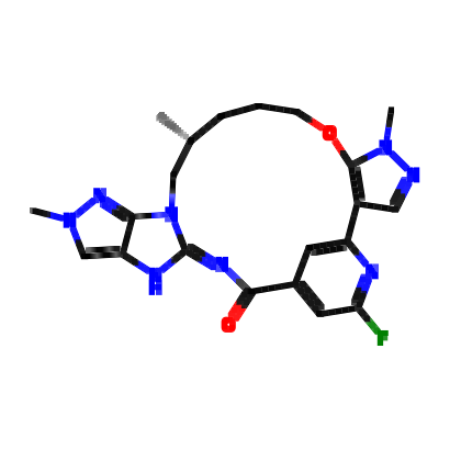 C[C@@H]1CCCOc2c(cnn2C)-c2cc(cc(F)n2)C(=O)/N=C2\Nc3cn(C)nc3N2C1